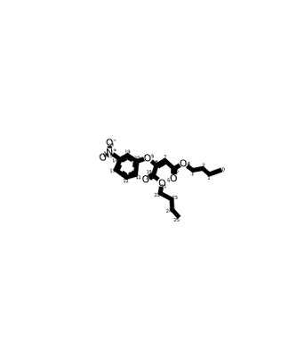 CCCCOC(=O)C=C(Oc1cccc([N+](=O)[O-])c1)C(=O)OCCCC